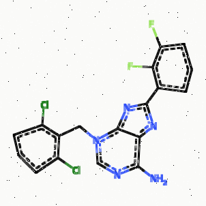 Nc1ncn(Cc2c(Cl)cccc2Cl)c2nc(-c3cccc(F)c3F)nc1-2